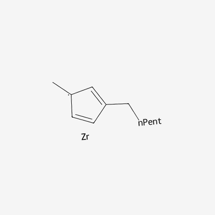 CCCCCCC1=C[C](C)C=C1.[Zr]